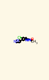 CC(=O)NCc1cc2cc(Cl)c(-c3ccc4cncn4c3)cc2[nH]1